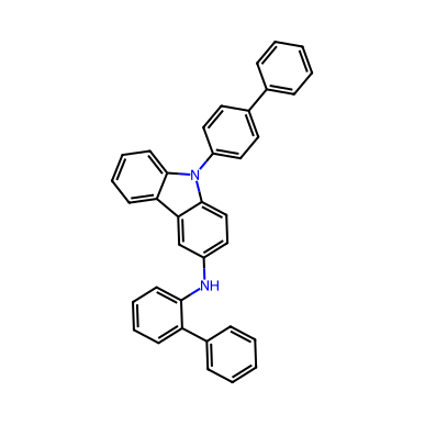 c1ccc(-c2ccc(-n3c4ccccc4c4cc(Nc5ccccc5-c5ccccc5)ccc43)cc2)cc1